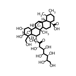 C[C@H]1[C@H](C)CC[C@]2(C(=O)O)CC[C@]3(C)C(=CC[C@@H]4[C@@]5(C)C[C@@H](O)[C@H](O)[C@@](C)(CO)[C@@H]5[C@H](OC(=O)[C@@H](O)[C@@H](O)[C@H](O)[C@H](O)[C@H](O)CO)C[C@]43C)[C@H]12